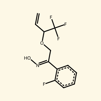 C=CC(OCC(=NO)c1ccccc1F)C(F)(F)F